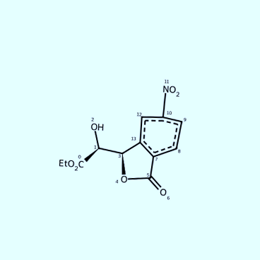 CCOC(=O)[C@@H](O)[C@@H]1OC(=O)c2ccc([N+](=O)[O-])cc21